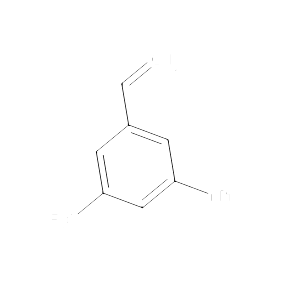 C=[C]c1cc(CCC)cc(C(F)(F)F)c1